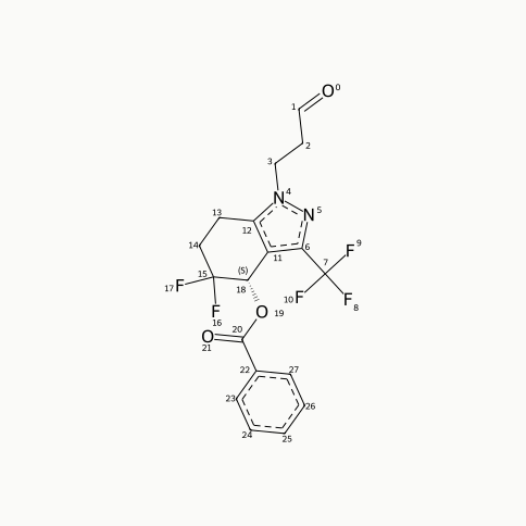 O=CCCn1nc(C(F)(F)F)c2c1CCC(F)(F)[C@H]2OC(=O)c1ccccc1